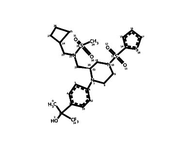 CC(O)(c1ccc(N2CCN(S(=O)(=O)c3cccs3)C[C@@H]2CN(CC2CCC2)S(C)(=O)=O)cc1)C(F)(F)F